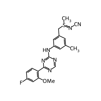 COc1cc(F)ccc1-c1ncnc(Nc2cc(C)cc(CS(C)=NC#N)c2)n1